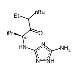 CCCCC(CC)C(=O)[C@@H](Nc1n[nH]c(N)n1)C(C)C